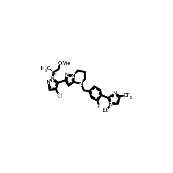 CCn1cc(C(F)(F)F)nc1-c1ccc(CN2CCCn3nc(-c4c(Cl)cnn4[C@H](C)COC)cc32)cc1F